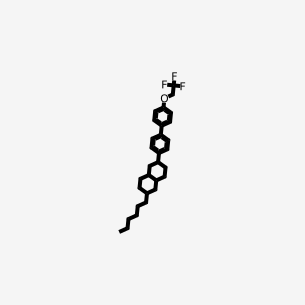 CCCCCCC1CCC2CC(c3ccc(-c4ccc(OCC(F)(F)F)cc4)cc3)CCC2C1